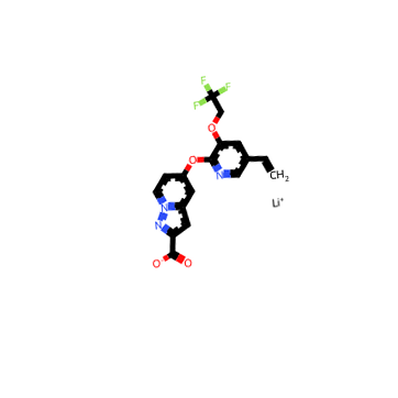 C=Cc1cnc(Oc2ccn3nc(C(=O)[O-])cc3c2)c(OCC(F)(F)F)c1.[Li+]